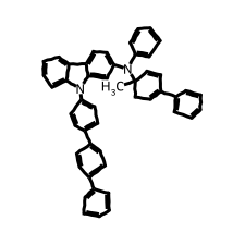 CC1(N(c2ccccc2)c2ccc3c4ccccc4n(-c4ccc(-c5ccc(-c6ccccc6)cc5)cc4)c3c2)C=CC(c2ccccc2)=CC1